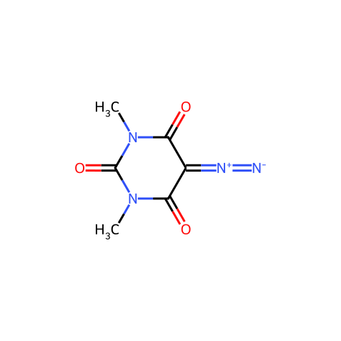 CN1C(=O)C(=[N+]=[N-])C(=O)N(C)C1=O